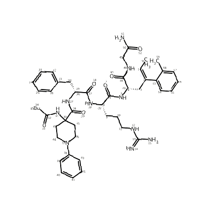 C/C=C(/C[C@H](NC(=O)[C@H](CCCNC(=N)N)NC(=O)[C@@H](Cc1ccccc1)NC(=O)C1(NC(=O)CCCC)CCN(c2ccccc2)CC1)C(=O)NCC(N)=O)c1ccccc1C